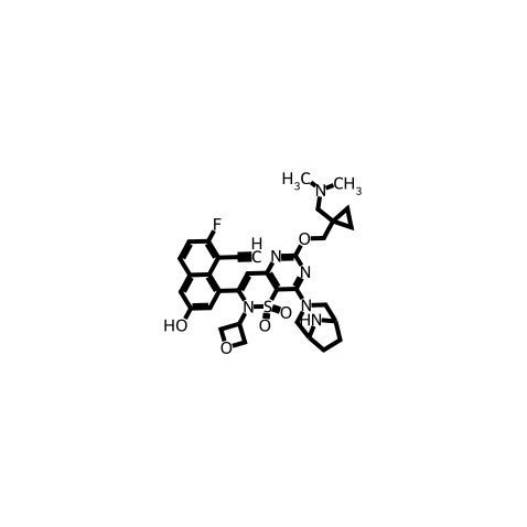 C#Cc1c(F)ccc2cc(O)cc(C3=Cc4nc(OCC5(CN(C)C)CC5)nc(N5CC6CCC(C5)N6)c4S(=O)(=O)N3C3COC3)c12